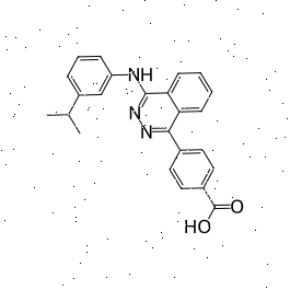 CC(C)c1cccc(Nc2nnc(-c3ccc(C(=O)O)cc3)c3ccccc23)c1